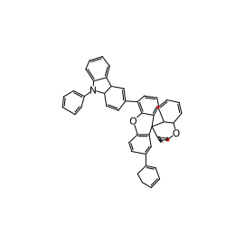 C1=CCCC(c2ccc3c(c2)C2(C4=CCCC=C4OC4C=CC=CC42)c2cccc(C4=CC5c6ccccc6N(c6ccccc6)C5C=C4)c2O3)=C1